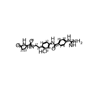 Cl.N=C(N)Nc1ccc(C(=O)Nc2ccc(CCNC(=O)C3CCC(=O)N3)cc2)cc1